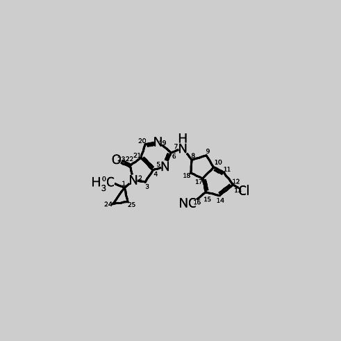 CC1(N2Cc3nc(NC4Cc5cc(Cl)cc(C#N)c5C4)ncc3C2=O)CC1